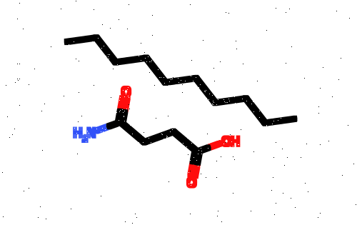 CCCCCCCCCC.NC(=O)CCC(=O)O